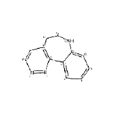 [c]1cc2c(nn1)-c1ccccc1NCC2